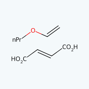 C=COCCC.O=C(O)C=CC(=O)O